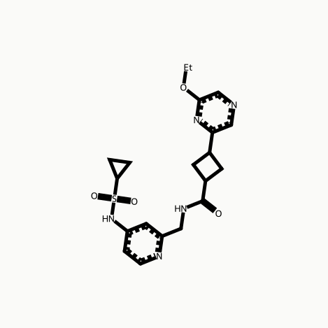 CCOc1cncc(C2CC(C(=O)NCc3cc(NS(=O)(=O)C4CC4)ccn3)C2)n1